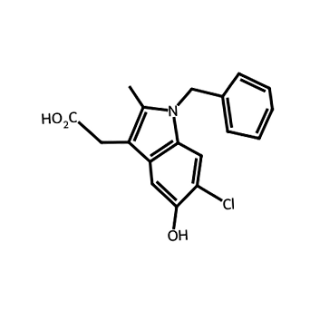 Cc1c(CC(=O)O)c2cc(O)c(Cl)cc2n1Cc1ccccc1